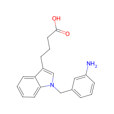 Nc1cccc(Cn2cc(CCCC(=O)O)c3ccccc32)c1